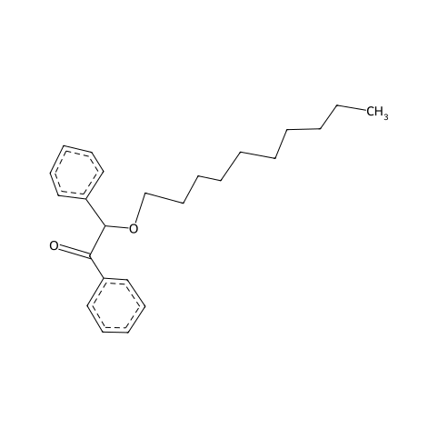 CCCCCCCCCCOC(C(=O)c1ccccc1)c1ccccc1